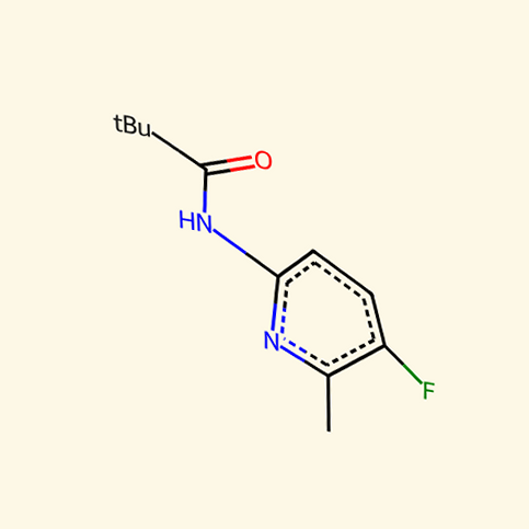 Cc1nc(NC(=O)C(C)(C)C)ccc1F